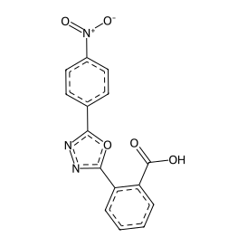 O=C(O)c1ccccc1-c1nnc(-c2ccc([N+](=O)[O-])cc2)o1